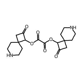 O=C(OC1C(=O)CC12CCNCC2)C(=O)OC1C(=O)CC12CCNCC2